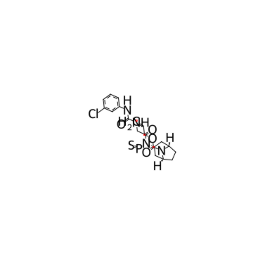 C=CCOC(=O)N1[C@@H]2CC[C@H]1C[C@@H](N(P=S)C(=O)CNC(=O)Nc1cccc(Cl)c1)C2